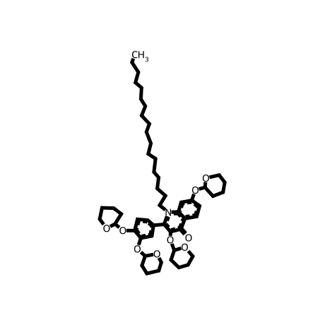 CCCCCCCCCCCCCCCCCCn1c(-c2ccc(OC3CCCCO3)c(OC3CCCCO3)c2)c(OC2CCCCO2)c(=O)c2ccc(OC3CCCCO3)cc21